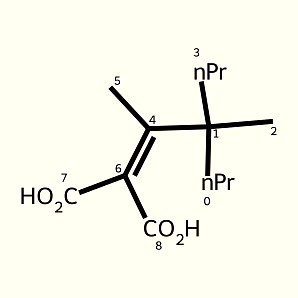 CCCC(C)(CCC)C(C)=C(C(=O)O)C(=O)O